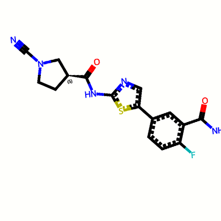 N#CN1CC[C@H](C(=O)Nc2ncc(-c3ccc(F)c(C(N)=O)c3)s2)C1